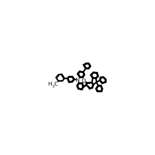 CC1C=CC=C(c2ccc(N(c3ccc(-c4ccccc4)cc3)c3cccc4c3oc3c5c(ccc34)C(c3ccccc3)(c3ccccc3)c3ccccc3-5)cc2)C1